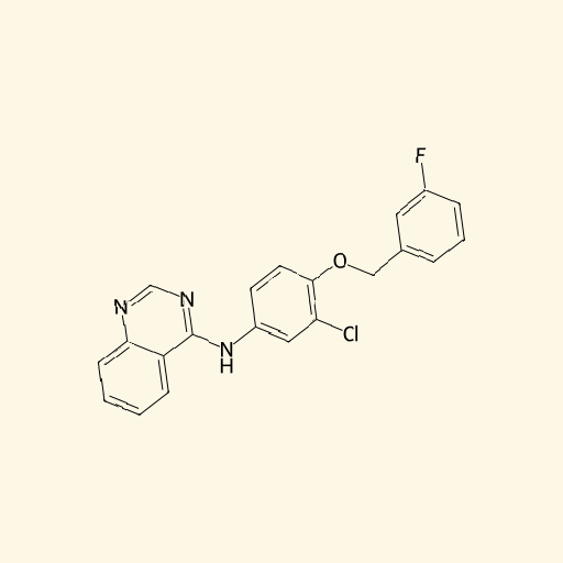 Fc1cccc(COc2ccc(Nc3ncnc4ccccc34)cc2Cl)c1